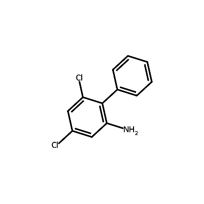 Nc1cc(Cl)cc(Cl)c1-c1ccccc1